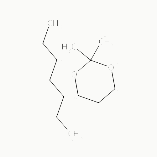 CC1(C)OCCCO1.CCCCCCC